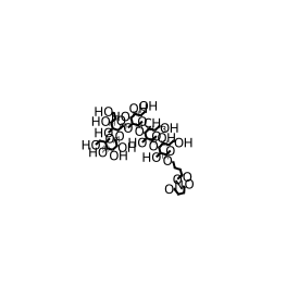 C[C@H]1C(CO)O[C@H](OC2C(O)[C@@H](OCCCC(=O)ON3C(=O)CCC3=O)OC(CO)[C@@H]2O)C(O)C1O[C@H]1OC(CO)[C@H](O)C(O)C1O[C@H]1OC(CO)[C@@H](O)C(O)C1O[C@H]1OC(CO)[C@@H](O)C(O)C1O